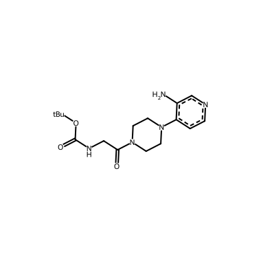 CC(C)(C)OC(=O)NCC(=O)N1CCN(c2ccncc2N)CC1